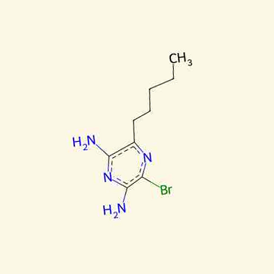 CCCCCc1nc(Br)c(N)nc1N